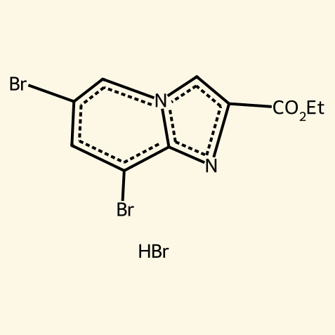 Br.CCOC(=O)c1cn2cc(Br)cc(Br)c2n1